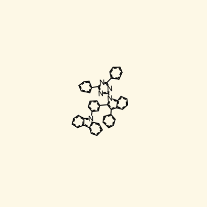 c1ccc(-c2nc(-c3ccccc3)nc(-n3c(-c4cccc(-n5c6ccccc6c6ccccc65)c4)c(-c4ccccc4)c4ccccc43)n2)cc1